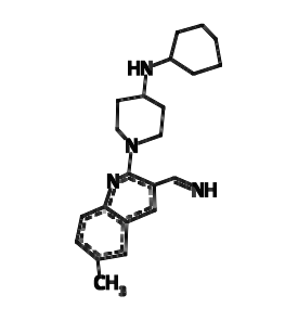 Cc1ccc2nc(N3CCC(NC4CCCCC4)CC3)c(C=N)cc2c1